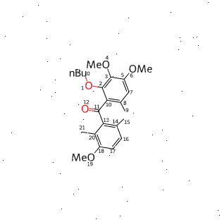 CCCCOc1c(OC)c(OC)cc(C)c1C(=O)c1c(C)ccc(OC)c1C